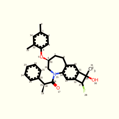 Cc1ccc(O[C@H]2CCc3cc4c(cc3N(C(=O)[C@@H](C)c3ccccc3)C2)C(F)C4(O)C(F)(F)F)c(C)c1